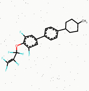 CC1CCC(c2ccc(-c3cc(F)c(OC(F)(F)C(F)=C(F)F)c(F)c3)cc2)CC1